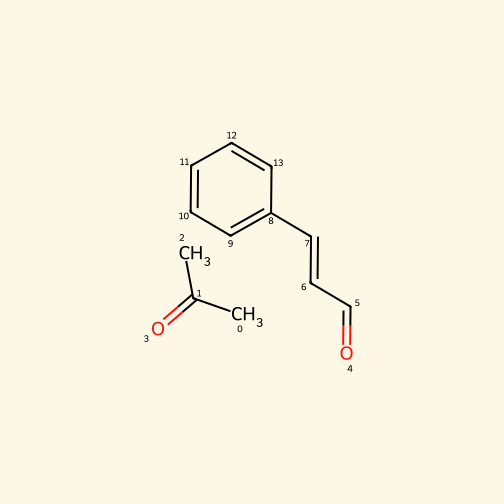 CC(C)=O.O=CC=Cc1ccccc1